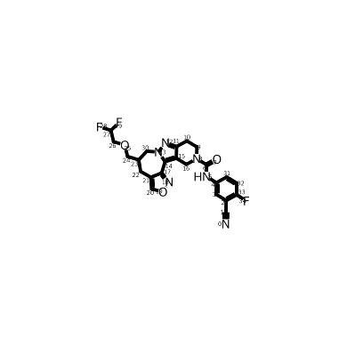 N#Cc1cc(NC(=O)N2CCc3nn4c(c3C2)-c2nocc2CC(COCC(F)F)C4)ccc1F